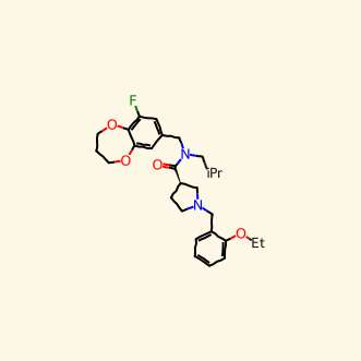 CCOc1ccccc1CN1CC[C@@H](C(=O)N(Cc2cc(F)c3c(c2)OCCCO3)CC(C)C)C1